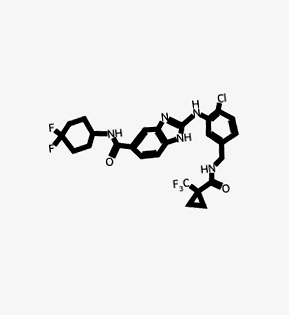 O=C(NC1CCC(F)(F)CC1)c1ccc2[nH]c(Nc3cc(CNC(=O)C4(C(F)(F)F)CC4)ccc3Cl)nc2c1